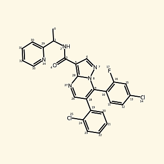 CC(NC(=O)c1cnn2c(-c3ccc(Cl)cc3F)c(-c3ccccc3Cl)cnc12)c1ccccn1